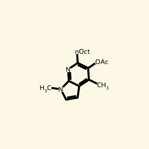 CCCCCCCCc1nc2c(ccn2C)c(C)c1OC(C)=O